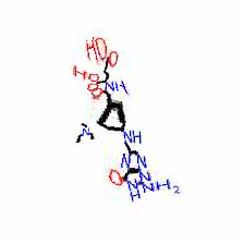 CCN(CC)CC.Nc1nc2ncc(CNc3ccc(C(=O)NC(CCC(=O)O)C(=O)O)cc3)nc2c(=O)[nH]1